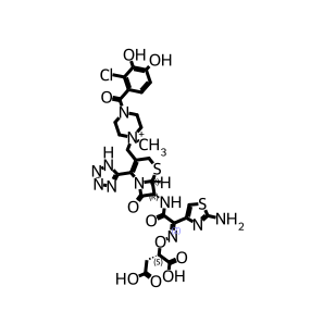 C[N+]1(CC2=C(c3nnn[nH]3)N3C(=O)[C@@H](NC(=O)/C(=N\O[C@@H](CC(=O)O)C(=O)O)c4csc(N)n4)[C@H]3SC2)CCN(C(=O)c2ccc(O)c(O)c2Cl)CC1